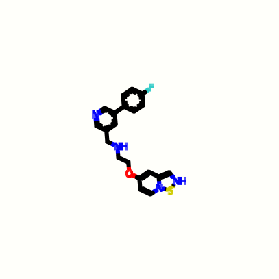 Fc1ccc(-c2cncc(CNCCOC3=CC4=CNSN4C=C3)c2)cc1